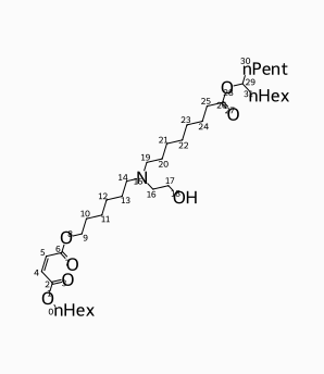 CCCCCCOC(=O)/C=C\C(=O)OCCCCCCN(CCO)CCCCCCCC(=O)OC(CCCCC)CCCCCC